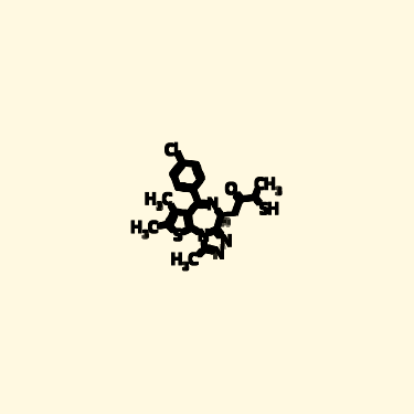 Cc1sc2c(c1C)C(c1ccc(Cl)cc1)=N[C@@H](CC(=O)C(C)S)c1nnc(C)n1-2